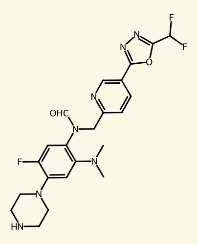 CN(C)c1cc(N2CCNCC2)c(F)cc1N(C=O)Cc1ccc(-c2nnc(C(F)F)o2)cn1